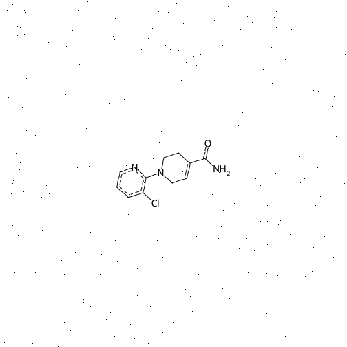 NC(=O)C1=CCN(c2ncccc2Cl)CC1